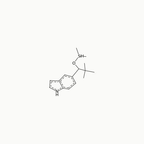 C[SiH](C)OC(c1ccc2[nH]ccc2c1)C(C)(C)C